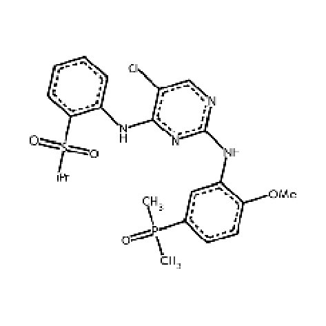 COc1ccc(P(C)(C)=O)cc1Nc1ncc(Cl)c(Nc2ccccc2S(=O)(=O)C(C)C)n1